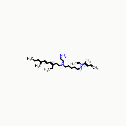 C=C/C=C(\C)N(C=C)/N=C\CCCCN(CCN)CC/C(=C/C=C/C(=C)CCC)CC